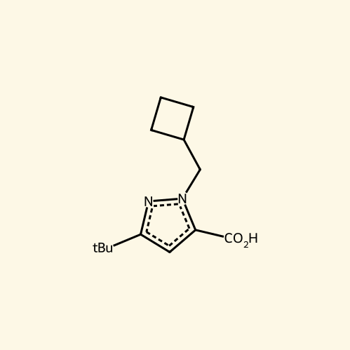 CC(C)(C)c1cc(C(=O)O)n(CC2CCC2)n1